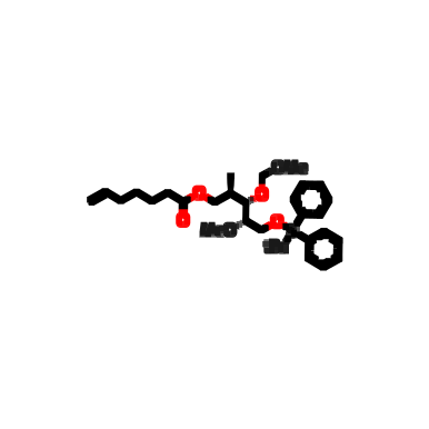 C=CCCCCC(=O)OC[C@@H](C)[C@H](OCOC)[C@H](CO[Si](c1ccccc1)(c1ccccc1)C(C)(C)C)OC